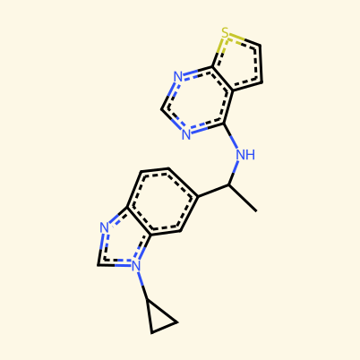 CC(Nc1ncnc2sccc12)c1ccc2ncn(C3CC3)c2c1